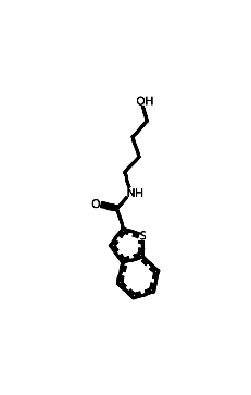 O=C(NCCCCO)c1cc2ccccc2s1